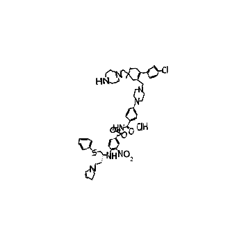 CC1(CN2CCNCC2)CCC(c2ccc(Cl)cc2)=C(CN2CCN(c3ccc(C(=O)NS(=O)(=O)c4ccc(N[C@H](CCN5CCCC5)CSc5ccccc5)c([N+](=O)[O-])c4)cc3)CC2)C1.Cl